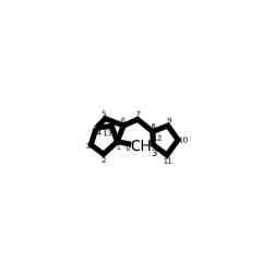 CC12CCC(CC1CC1CCCC1)C2